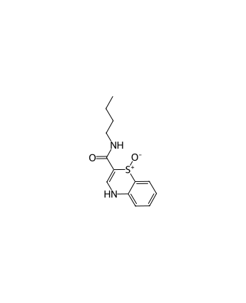 CCCCNC(=O)C1=CNc2ccccc2[S+]1[O-]